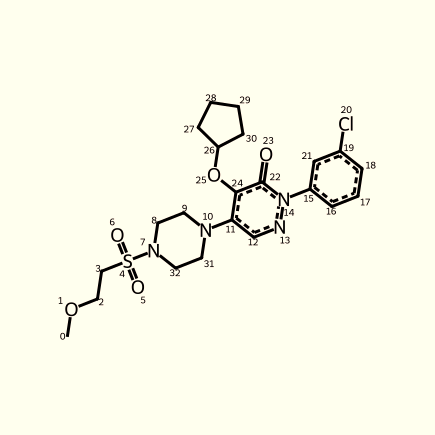 COCCS(=O)(=O)N1CCN(c2cnn(-c3cccc(Cl)c3)c(=O)c2OC2CCCC2)CC1